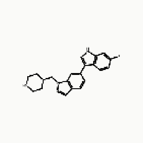 Fc1ccc2c(-c3ccc4cnn(CC5CCNCC5)c4c3)c[nH]c2c1